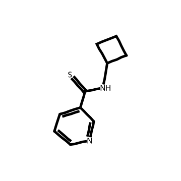 S=C(NC1CCC1)c1cccnc1